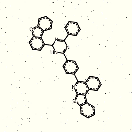 c1ccc(C2=NC(c3cccc4oc5ccccc5c34)NC(c3ccc(-c4nc5oc6ccccc6c5c5ccccc45)cc3)=N2)cc1